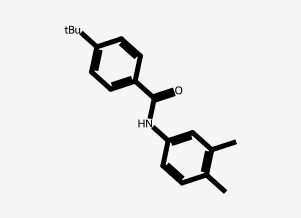 Cc1ccc(NC(=O)c2ccc(C(C)(C)C)cc2)cc1C